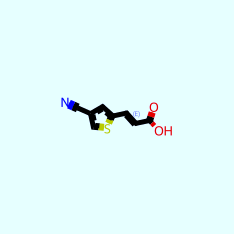 N#Cc1csc(/C=C/C(=O)O)c1